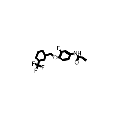 C=CC(=O)Nc1ccc(OCC2CCCC(C(F)(F)F)C2)c(F)c1